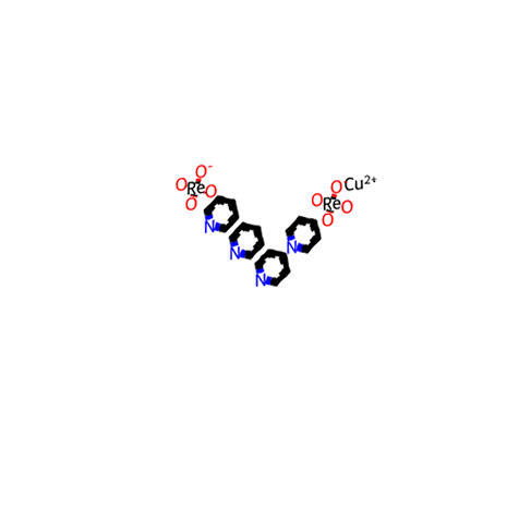 [Cu+2].[O]=[Re](=[O])(=[O])[O-].[O]=[Re](=[O])(=[O])[O-].c1ccncc1.c1ccncc1.c1ccncc1.c1ccncc1